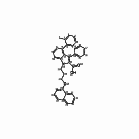 Cc1ccccc1-c1cccc2c1c(-c1ccccc1)c(C(=O)O)n2CCCOc1cccc2ccccc12